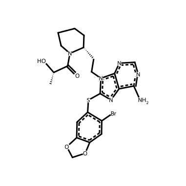 C[C@H](O)C(=O)N1CCCC[C@@H]1CCn1c(Sc2cc3c(cc2Br)OCO3)nc2c(N)ncnc21